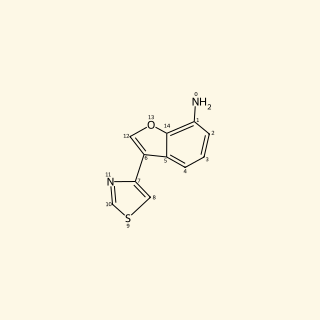 Nc1cccc2c(-c3cscn3)coc12